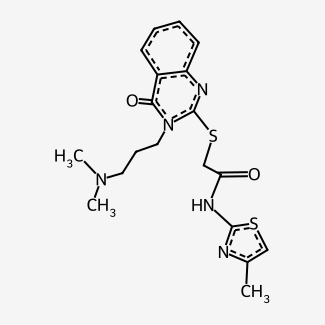 Cc1csc(NC(=O)CSc2nc3ccccc3c(=O)n2CCCN(C)C)n1